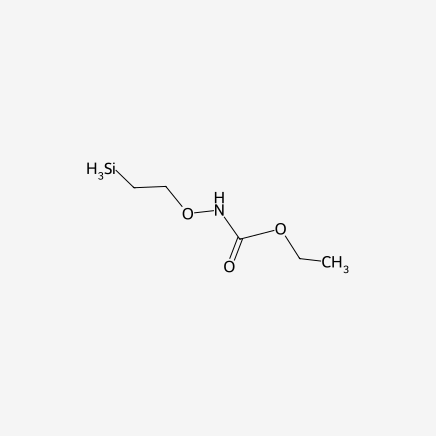 CCOC(=O)NOCC[SiH3]